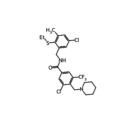 CCSc1c(C)cc(Cl)cc1CNC(=O)c1cc(Cl)c(CN2CCCCC2)c(C(F)(F)F)c1